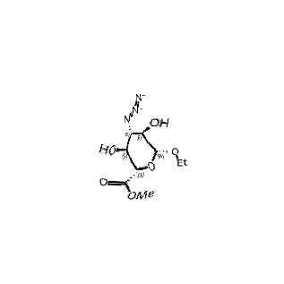 CCO[C@@H]1O[C@H](C(=O)OC)[C@@H](O)[C@H](N=[N+]=[N-])[C@H]1O